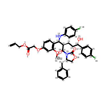 C=CCOC(=O)COc1ccc([C@@H](Nc2ccc(F)cc2)[C@@H](CC[C@H](O)c2ccc(F)cc2)C(=O)N2C(=O)OC[C@@H]2Cc2ccccc2)c(OCCCC)c1